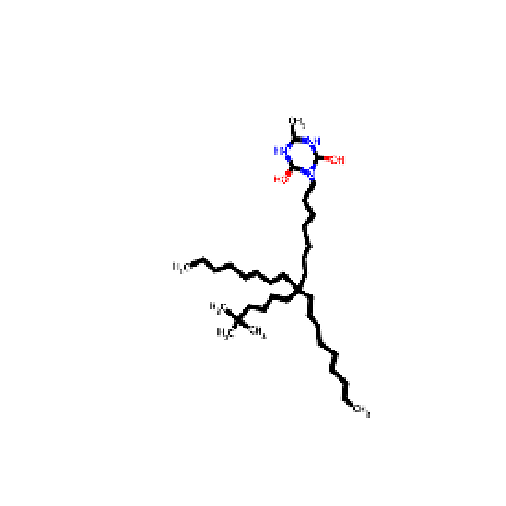 CCCCCCCCCC(CCCCCCCC)(CCCCCCCN1C(O)NC(C)NC1O)CCCCC(C)(C)C